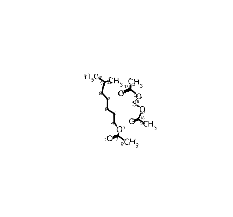 CC(=O)OCCCCCC(C)C.CC(=O)OSOC(C)=O